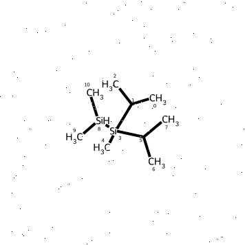 CC(C)[Si](C)(C(C)C)[SiH](C)C